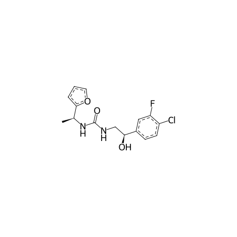 C[C@H](NC(=O)NC[C@H](O)c1ccc(Cl)c(F)c1)c1ccco1